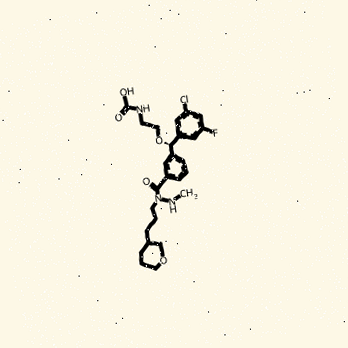 CNN(CCCC1CCCOC1)C(=O)c1cccc([C@H](OCCNC(=O)O)c2cc(F)cc(Cl)c2)c1